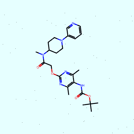 Cc1nc(OCC(=O)N(C)C2CCN(c3cccnc3)CC2)nc(C)c1NC(=O)OC(C)(C)C